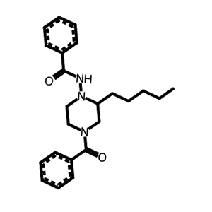 CCCCCC1CN(C(=O)c2ccccc2)CCN1NC(=O)c1ccccc1